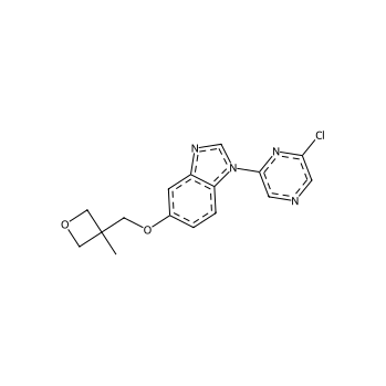 CC1(COc2ccc3c(c2)ncn3-c2cncc(Cl)n2)COC1